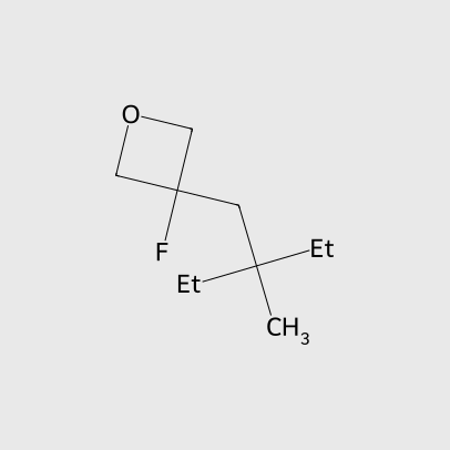 CCC(C)(CC)CC1(F)COC1